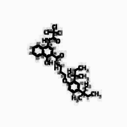 CCC(C)(C)c1ccc(OCCCNC(=O)c2cc(NC(=O)C(Cl)(Cl)Cl)c3ccccc3c2O)c(C(C)(C)CC)c1